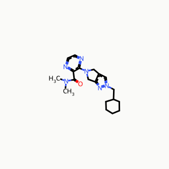 CN(C)C(=O)c1nccnc1N1Cc2cn(CC3CCCCC3)nc2C1